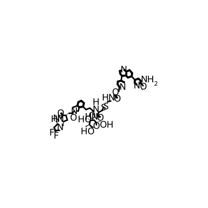 COc1ncc(-c2ccc3nccc(-c4ccc(COC(=O)NCCSSCC(NC(=O)CCc5cccc6c5CN(C(=O)C[C@@H]5C[C@@H](CN7CC(F)(F)C[C@H]7C#N)NC5=O)C6)C(=O)N[C@@H]5[C@@H](O)[C@H](C)C(O)O[C@H]5CO)nc4)c3c2)cc1N